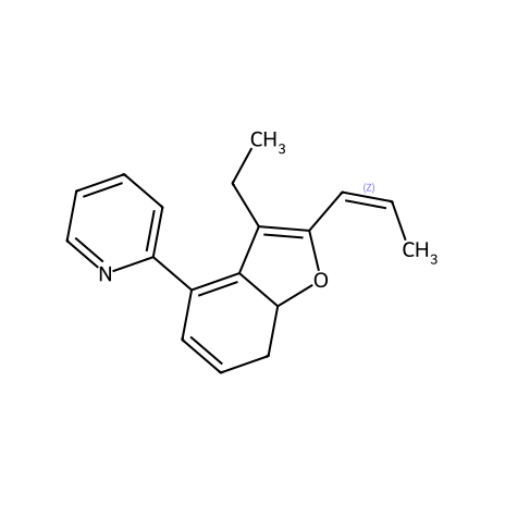 C/C=C\C1=C(CC)C2=C(c3ccccn3)C=CCC2O1